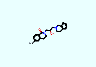 CCCc1ccc2c(c1)CCN(C[C@H](O)CN1CCc3ccccc3C1)C2=O